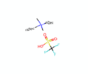 CCCCCCCCCC[N+](C)(C)CCCCCCCCCC.O=S(=O)(O)C(F)(F)F